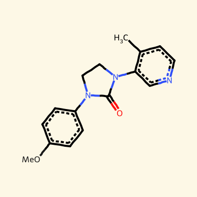 COc1ccc(N2CCN(c3cnccc3C)C2=O)cc1